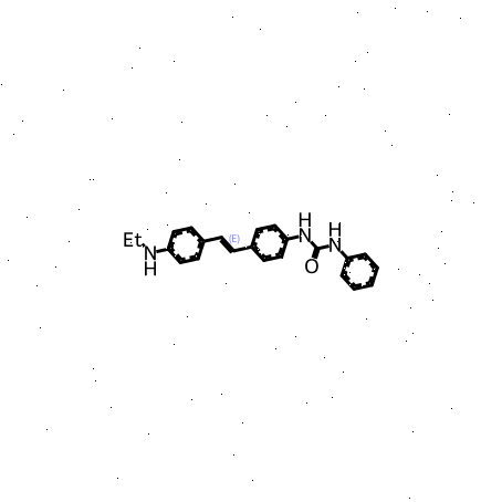 CCNc1ccc(/C=C/c2ccc(NC(=O)Nc3ccccc3)cc2)cc1